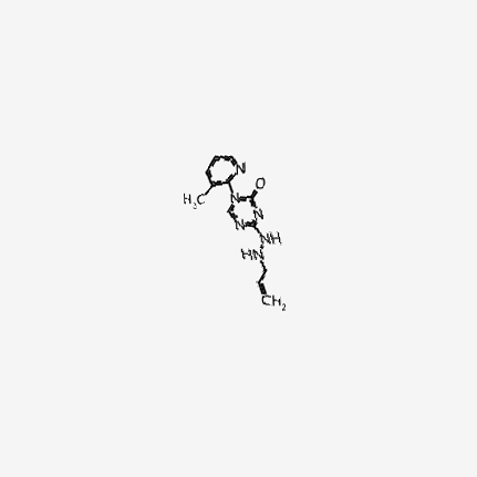 C=CCNNc1ncn(-c2ncccc2C)c(=O)n1